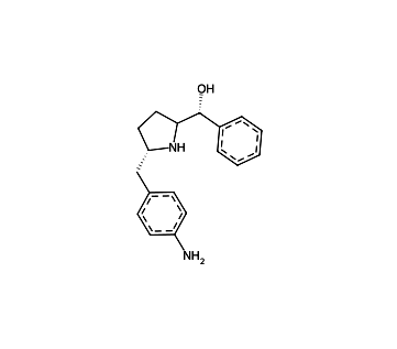 Nc1ccc(C[C@@H]2CCC([C@H](O)c3ccccc3)N2)cc1